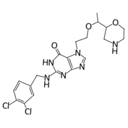 CC(OCCn1cnc2nc(NCc3ccc(Cl)c(Cl)c3)[nH]c(=O)c21)C1CNCCO1